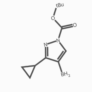 Bc1cn(C(=O)OC(C)(C)C)nc1C1CC1